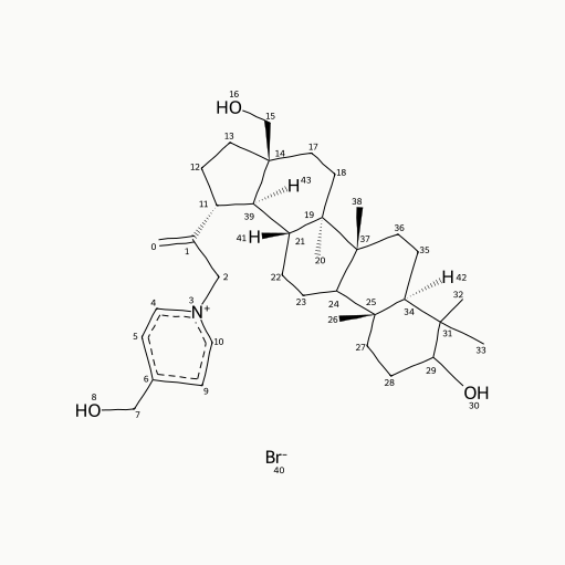 C=C(C[n+]1ccc(CO)cc1)[C@@H]1CC[C@]2(CO)CC[C@]3(C)[C@H](CCC4[C@@]5(C)CCC(O)C(C)(C)[C@@H]5CC[C@]43C)[C@@H]12.[Br-]